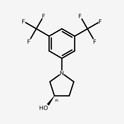 O[C@@H]1CCN(c2cc(C(F)(F)F)cc(C(F)(F)F)c2)C1